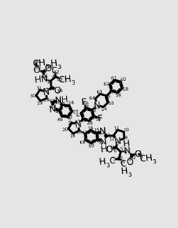 COC(=O)N[C@H](C(=O)N1CCCC1c1nc2cc([C@H]3CC[C@H](c4ccc5[nH]c([C@@H]6CCCN6C(=O)[C@@H](NC(=O)OC)C(C)C)nc5c4)N3c3cc(F)c(N4CC=C(c5ccccc5)CC4)c(F)c3)ccc2[nH]1)C(C)C